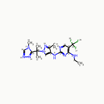 CCNc1nc(Nc2cn(C(C)(C)c3nncn3C)nc2C)ncc1C(F)(F)F